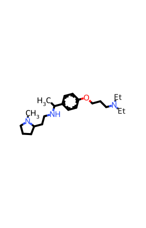 CCN(CC)CCCOc1ccc(C(C)NCCC2CCCN2C)cc1